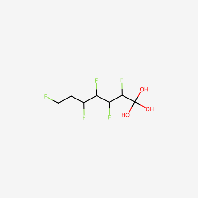 OC(O)(O)C(F)C(F)C(F)C(F)CCF